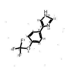 FC(F)(F)Oc1ccc(-c2c[nH][c]n2)cc1